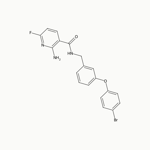 Nc1nc(F)ccc1C(=O)NCc1cccc(Oc2ccc(Br)cc2)c1